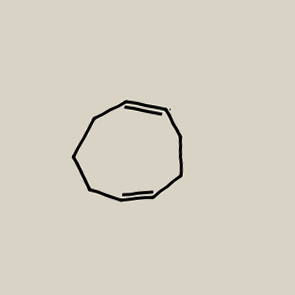 [C]1=C\CCC/C=C\CC/1